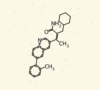 CC(=C(CC1CCCCC1)C(N)=O)c1cnc2ccc(-c3ccccc3C)cc2c1